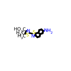 CC1(C)SC(c2nc3ccc4cc(N)ccc4c3s2)=NC1C(=O)O